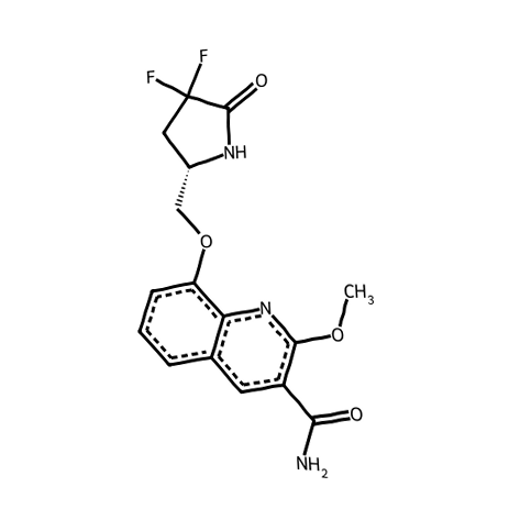 COc1nc2c(OC[C@@H]3CC(F)(F)C(=O)N3)cccc2cc1C(N)=O